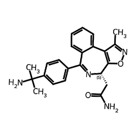 Cc1noc2c1-c1ccccc1C(c1ccc(C(C)(C)N)cc1)=N[C@H]2CC(N)=O